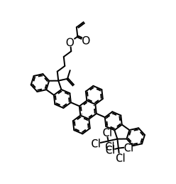 C=CC(=O)OCCCCC1(C(=C)C)c2ccccc2-c2ccc(-c3c4ccccc4c(-c4ccc5c(c4)C(C(Cl)(Cl)Cl)(C(Cl)(Cl)Cl)c4ccccc4-5)c4ccccc34)cc21